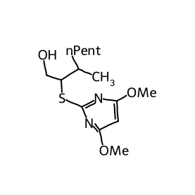 CCCCCC(C)C(CO)Sc1nc(OC)cc(OC)n1